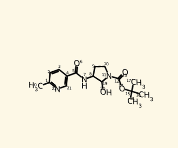 Cc1ccc(C(=O)NC2CCN(C(=O)OC(C)(C)C)C2O)cn1